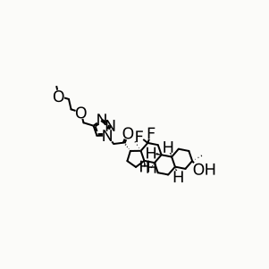 COCCOCc1cn(CC(=O)[C@H]2CC[C@H]3[C@@H]4CC[C@@H]5C[C@](C)(O)CC[C@@H]5[C@H]4CC(F)(F)[C@]23C)nn1